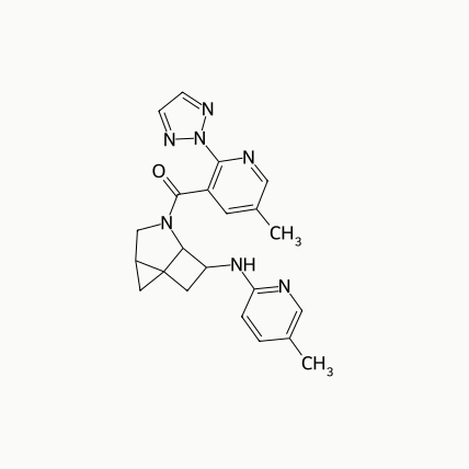 Cc1ccc(NC2CC34CC3CN(C(=O)c3cc(C)cnc3-n3nccn3)C24)nc1